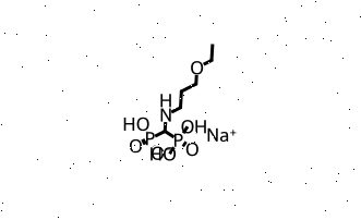 CCOCCCNC(P(=O)([O-])O)P(=O)(O)O.[Na+]